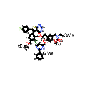 COCCN(Cc1ccc(OCc2ccnc(-c3ccccc3OC)n2)c(CC(Oc2ncnc3sc(-c4ccc(F)cc4)c(-c4ccc(CO[Si](C)(C)C(C)(C)C)c(Cl)c4C)c23)C(=O)O)c1)C(=O)OC(C)(C)C